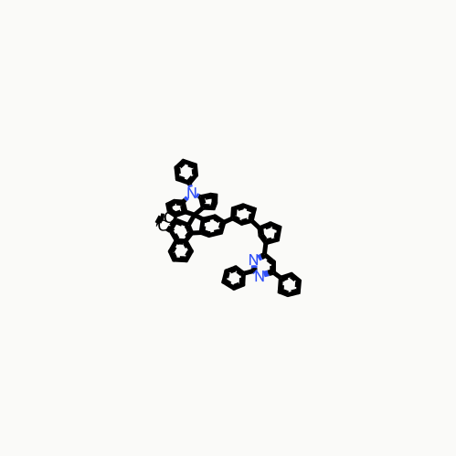 c1ccc(-c2cc(-c3cccc(-c4cccc(-c5ccc6c(c5)C5(c7ccccc7N(c7ccccc7)c7ccccc75)c5c-6c6ccccc6c6ccccc56)c4)c3)nc(-c3ccccc3)n2)cc1